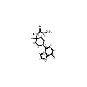 CC1(NC(=O)OC(C)(C)C)CCN(c2ncc(I)c3nccn23)CC1